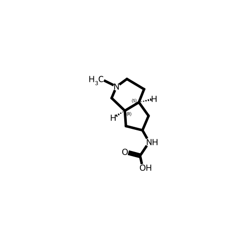 CN1CC[C@H]2CC(NC(=O)O)C[C@H]2C1